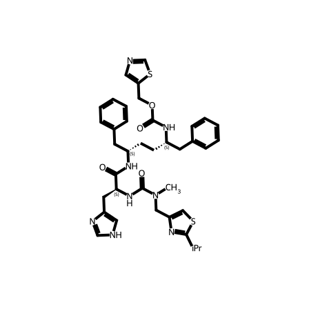 CC(C)c1nc(CN(C)C(=O)N[C@@H](Cc2c[nH]cn2)C(=O)N[C@@H](CC[C@@H](Cc2ccccc2)NC(=O)OCc2cncs2)Cc2ccccc2)cs1